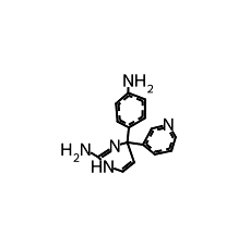 NC1=NC(c2ccc(N)cc2)(c2cccnc2)C=CN1